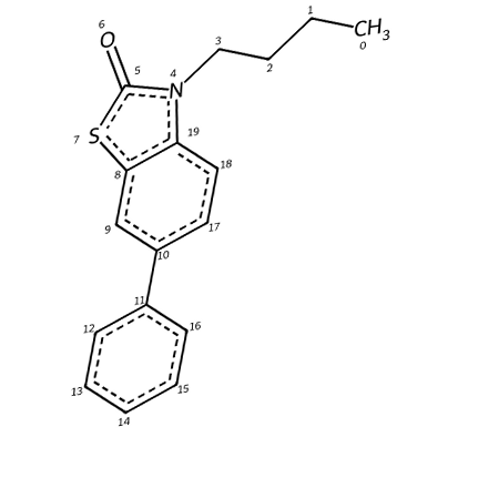 CCCCn1c(=O)sc2cc(-c3ccccc3)ccc21